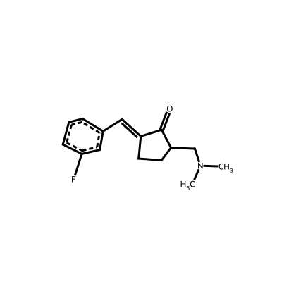 CN(C)CC1CC/C(=C\c2cccc(F)c2)C1=O